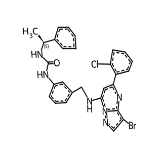 C[C@H](NC(=O)Nc1cccc(CNc2cc(-c3ccccc3Cl)nc3c(Br)cnn23)c1)c1ccccc1